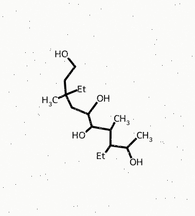 CCC(C(C)O)C(C)C(O)C(O)CC(C)(CC)CCO